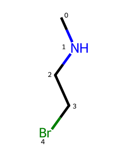 CNCCBr